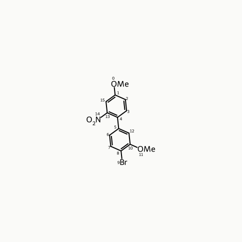 COc1ccc(-c2ccc(Br)c(OC)c2)c([N+](=O)[O-])c1